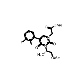 COC[C@H](C)n1c(=O)c(-c2cccc(F)c2F)cn(CC(=O)OC)c1=O